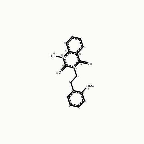 COc1ccccc1CCn1c(=O)c2ccccc2n(C)c1=O